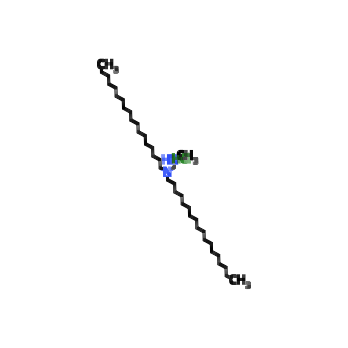 CCCCCCCCCCCCCCCCCCN(CCCCCCCCCCCCCCCCCC)CNC.Cl